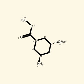 CO[C@@H]1C[C@@H](N)CN(C(=O)OC(C)(C)C)C1